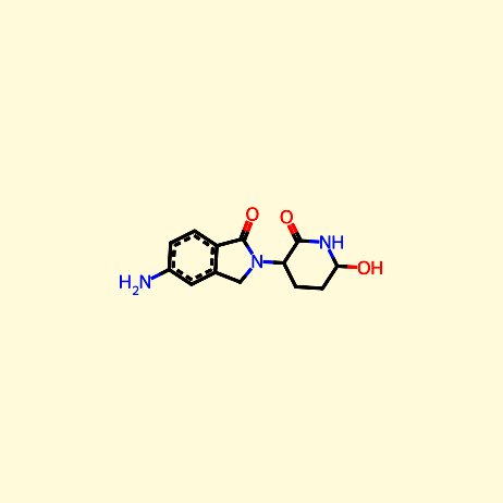 Nc1ccc2c(c1)CN(C1CCC(O)NC1=O)C2=O